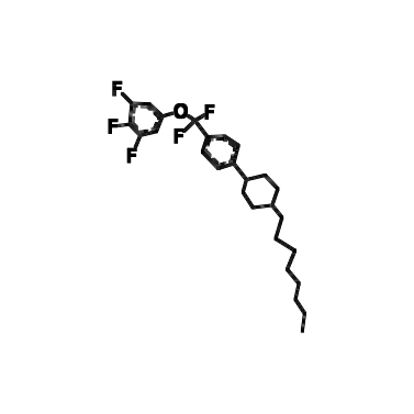 CCCCCCCCC1CCC(c2ccc(C(F)(F)Oc3cc(F)c(F)c(F)c3)cc2)CC1